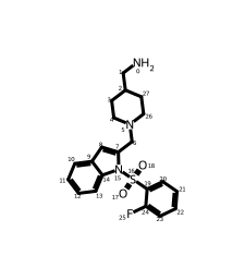 NCC1CCN(Cc2cc3ccccc3n2S(=O)(=O)c2ccccc2F)CC1